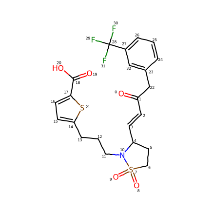 O=C(/C=C/C1CCS(=O)(=O)N1CCCc1ccc(C(=O)O)s1)Cc1cccc(C(F)(F)F)c1